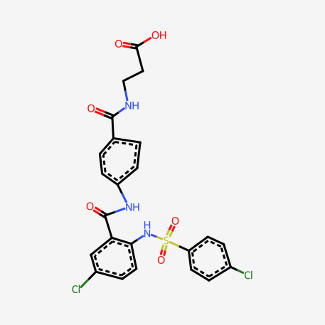 O=C(O)CCNC(=O)c1ccc(NC(=O)c2cc(Cl)ccc2NS(=O)(=O)c2ccc(Cl)cc2)cc1